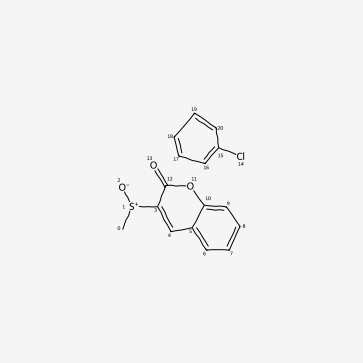 C[S+]([O-])c1cc2ccccc2oc1=O.Clc1ccccc1